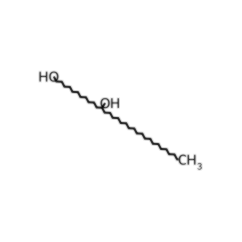 CCCCCCCCCCCCCCCCCCCCC(O)CCCCCCCCCCCO